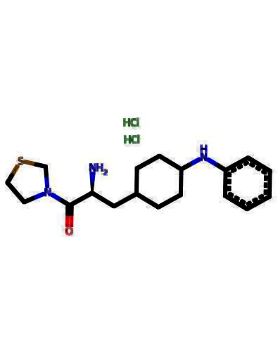 Cl.Cl.N[C@@H](CC1CCC(Nc2ccccc2)CC1)C(=O)N1CCSC1